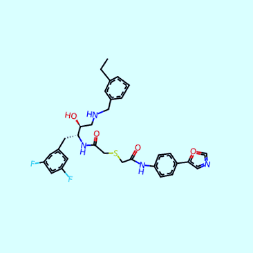 CCc1cccc(CNC[C@H](O)[C@@H](Cc2cc(F)cc(F)c2)NC(=O)CSCC(=O)Nc2ccc(-c3cnco3)cc2)c1